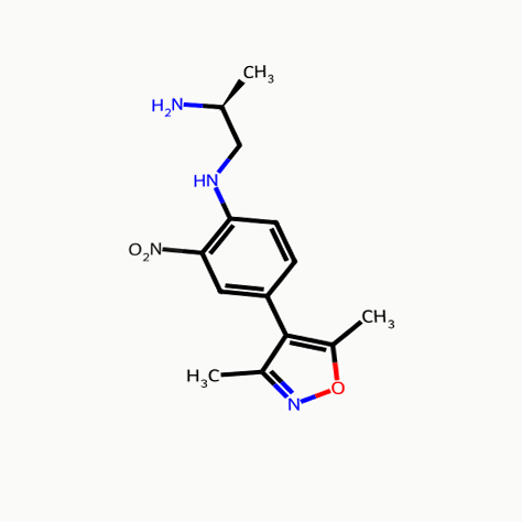 Cc1noc(C)c1-c1ccc(NC[C@H](C)N)c([N+](=O)[O-])c1